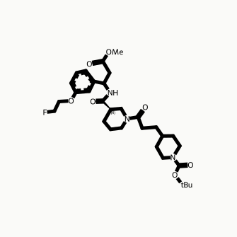 COC(=O)CC(NC(=O)[C@@H]1CCCN(C(=O)CCC2CCN(C(=O)OC(C)(C)C)CC2)C1)c1cccc(OCCF)c1